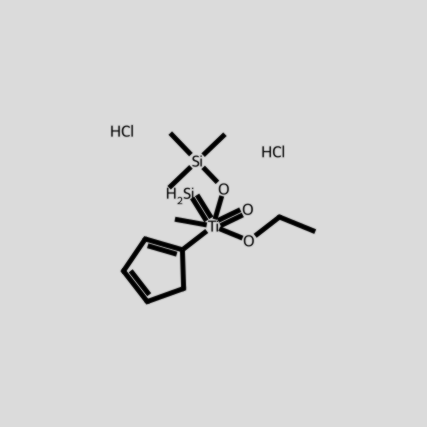 CC[O][Ti]([CH3])(=[O])(=[SiH2])([O][Si](C)(C)C)[C]1=CC=CC1.Cl.Cl